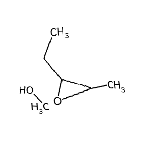 CCC1OC1C.CO